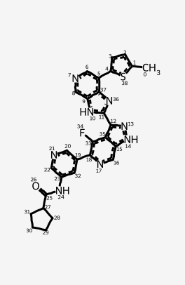 Cc1ccc(-c2cncc3[nH]c(-c4n[nH]c5cnc(-c6cncc(NC(=O)C7CCCC7)c6)c(F)c45)nc23)s1